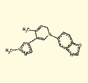 CC1=CCN(c2ccc3ocnc3c2)C=C1c1cnn(C)c1